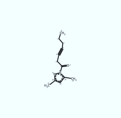 CCCC#CCC(=O)n1nc(C)cc1C